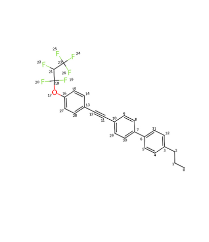 CCCc1ccc(-c2ccc(C#Cc3ccc(OC(F)(F)C(F)C(F)(F)F)cc3)cc2)cc1